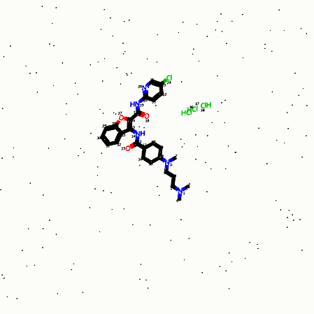 CN(C)CCCN(C)C1CCC(C(=O)Nc2c(C(=O)Nc3ccc(Cl)cn3)oc3ccccc23)CC1.Cl.Cl.Cl